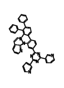 C1=Cc2cccnc2N2B1c1c(ccc(-c3ccccc3)c1-c1ccccc1)-c1ccc(-c3nc(-c4cccnc4)nc(-c4cccnc4)n3)cc12